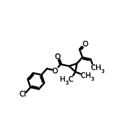 C/C=C(/C=O)C1C(C(=O)OCc2ccc(Cl)cc2)C1(C)C